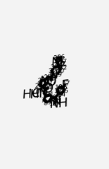 C#CC1(C(=O)Nc2ccc3[nH]nc(-c4ccc(F)cc4)c3c2)CCN(CC(=O)N2CCC(F)(c3nccs3)CC2)C1